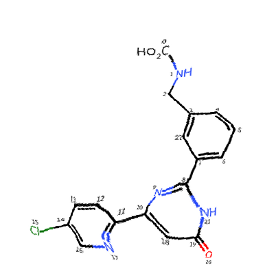 O=C(O)NCc1cccc(-c2nc(-c3ccc(Cl)cn3)cc(=O)[nH]2)c1